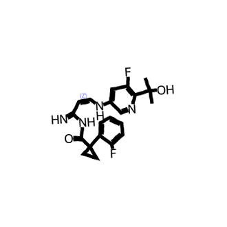 CC(C)(O)c1ncc(N/C=C\C(=N)NC(=O)C2(c3ccccc3F)CC2)cc1F